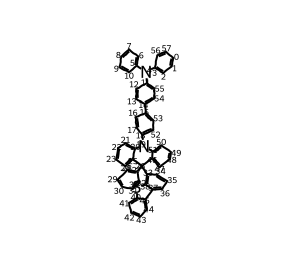 c1ccc(N(c2ccccc2)c2ccc(-c3ccc(N4c5ccccc5C(c5ccccc5)(c5cccc6c5sc5ccccc56)c5ccccc54)cc3)cc2)cc1